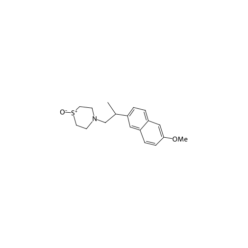 COc1ccc2cc(C(C)CN3CC[S+]([O-])CC3)ccc2c1